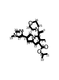 C=C(c1c(C)c(C(=O)OC(C)C)cc2cc(-c3cn(C)cn3)cn12)N1CCOCC1